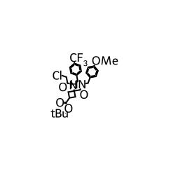 COc1ccc(CNC(=O)C2(N(Cc3ccc(C(F)(F)F)cc3)C(=O)CCl)CC(C(=O)OC(C)(C)C)C2)cc1